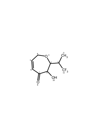 CC(C1OCC=CC(=O)C1O)C(F)(F)F